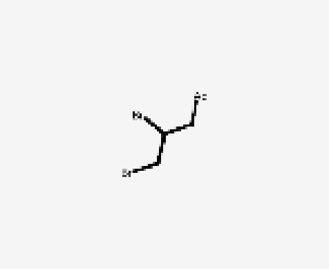 CC(=O)CC(Br)CBr